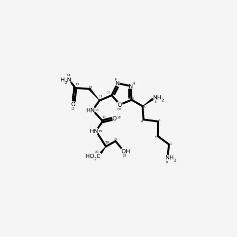 NCCCC[C@H](N)c1nnc([C@H](CC(N)=O)NC(=O)N[C@@H](CO)C(=O)O)o1